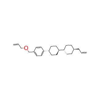 C=CCOCc1ccc([C@H]2CC[C@H]([C@H]3CC[C@H](CC=C)CC3)CC2)cc1